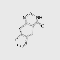 O=c1[nH]cnc2cc3ccccc3cc12